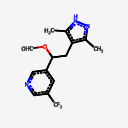 Cc1n[nH]c(C)c1CC(OC=O)c1cncc(C(F)(F)F)c1